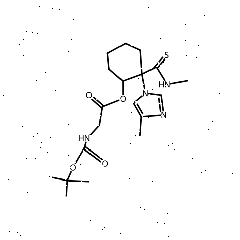 CNC(=S)C1(n2cnc(C)c2)CCCCC1OC(=O)CNC(=O)OC(C)(C)C